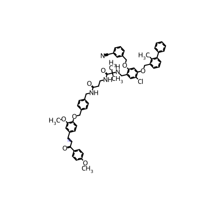 COc1ccc(C(=O)/C=C/c2ccc(OCc3ccc(CNC(=O)CCNC(=O)C(C)(C)NCc4cc(Cl)c(OCc5cccc(-c6ccccc6)c5C)cc4OCc4cccc(C#N)c4)cc3)c(OC)c2)cc1